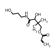 C=CC(=O)OCC(C)(C)C(O)C(=O)NCCCO